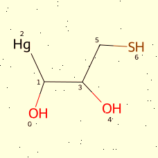 O[CH]([Hg])C(O)CS